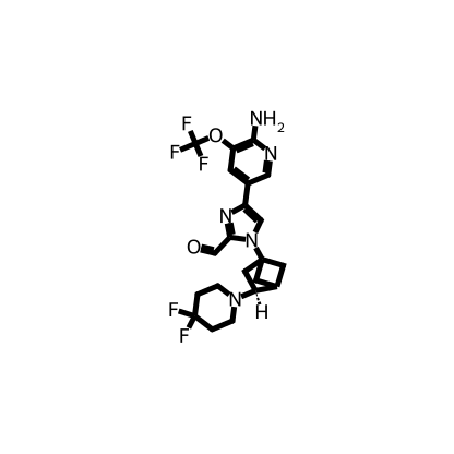 Nc1ncc(-c2cn(C34CC(C3)[C@@H](N3CCC(F)(F)CC3)C4)c(C=O)n2)cc1OC(F)(F)F